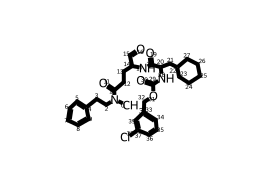 CN(CCc1ccccc1)C(=O)CCC(C=O)NC(=O)C(CC1CCCCC1)NC(=O)OCc1cccc(Cl)c1